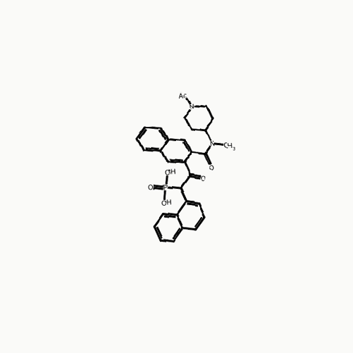 CC(=O)N1CCC(N(C)C(=O)c2cc3ccccc3cc2C(=O)C(c2cccc3ccccc23)P(=O)(O)O)CC1